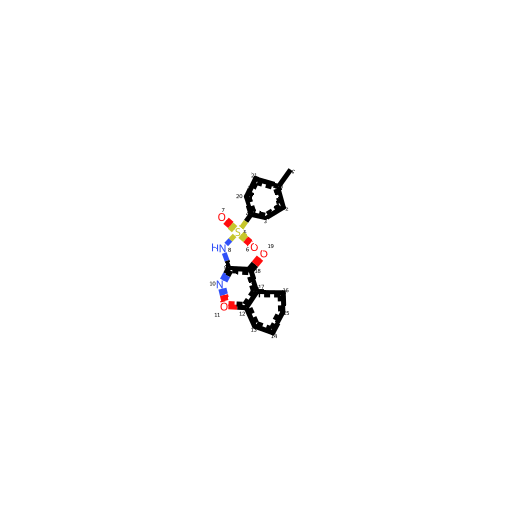 Cc1ccc(S(=O)(=O)Nc2noc3ccccc3c2=O)cc1